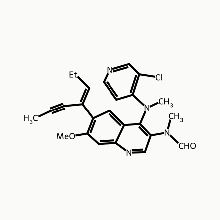 CC#C/C(=C\CC)c1cc2c(N(C)c3ccncc3Cl)c(N(C)C=O)cnc2cc1OC